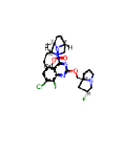 CC(C)(C)OC(=O)N1[C@@H]2CC[C@H]1[C@H]1CCc3cc(Cl)c(F)c4nc(OC[C@@]56CCCN5C[C@H](F)C6)nc(c34)N1C2